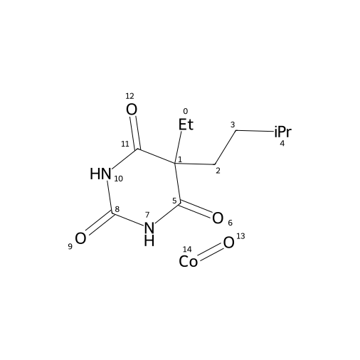 CCC1(CCC(C)C)C(=O)NC(=O)NC1=O.[O]=[Co]